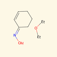 CCOCC.O/N=C1/C=CCCC1